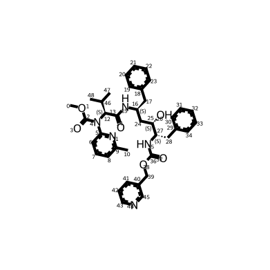 COC(=O)N(c1cccc(C)n1)[C@H](C(=O)N[C@@H](Cc1ccccc1)C[C@H](O)[C@H](Cc1ccccc1)NC(=O)OCc1cccnc1)C(C)C